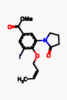 C/C=C\COc1c(I)cc(C(=O)OC)cc1N1CCCC1=O